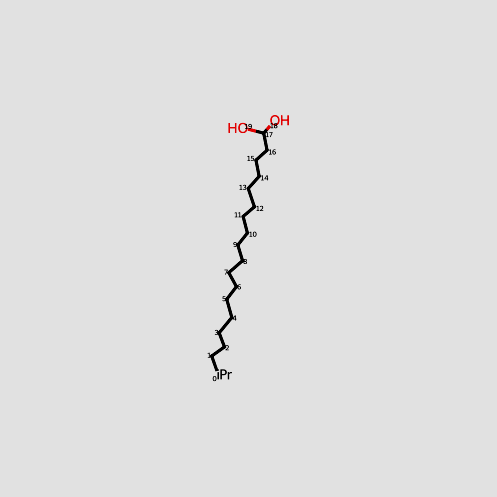 CC(C)CCCCCCCCCCCCCCCCC(O)O